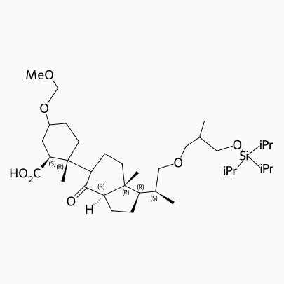 COCOC1CC[C@](C)(C2CC[C@]3(C)[C@@H]([C@H](C)COCC(C)CO[Si](C(C)C)(C(C)C)C(C)C)CC[C@H]3C2=O)[C@@H](C(=O)O)C1